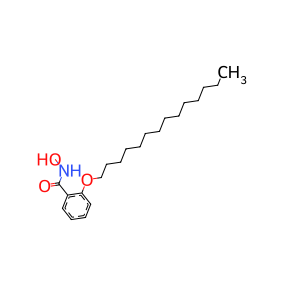 CCCCCCCCCCCCCCOc1ccccc1C(=O)NO